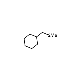 [CH2]SCC1CCCCC1